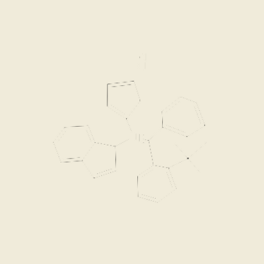 CC(C)(C)c1ccccc1[C](c1ccccc1)=[Hf+2]([C]1=CC=CC1)[CH]1C=Cc2ccccc21.[Cl-].[Cl-]